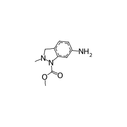 COC(=O)N1c2cc(N)ccc2CN1C